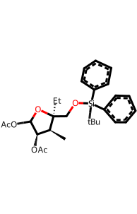 CC[C@@]1(CO[Si](c2ccccc2)(c2ccccc2)C(C)(C)C)OC(OC(C)=O)[C@H](OC(C)=O)[C@@H]1C